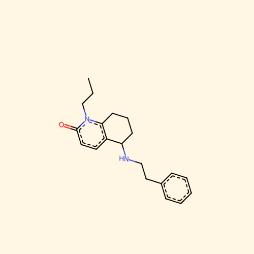 CCCn1c2c(ccc1=O)C(NCCc1ccccc1)CCC2